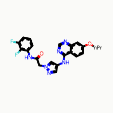 C[CH]COc1ccc2c(Nc3cnn(CC(=O)Nc4cccc(F)c4F)c3)ncnc2c1